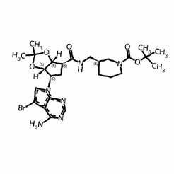 CC(C)(C)OC(=O)N1CCC[C@@H](CNC(=O)[C@H]2C[C@@H](n3cc(Br)c4c(N)ncnc43)[C@@H]3OC(C)(C)O[C@@H]32)C1